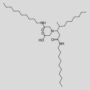 CCCCCCCCCCNC(=O)CC(C(C)CCCCCCC)N(CC(=O)O)CC(=O)NCCCCCCCCCC